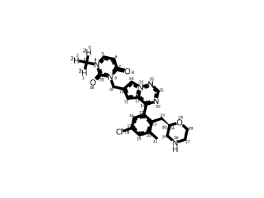 [2H]C([2H])([2H])n1ccc(=O)n(Cc2cc3c(-c4cc(Cl)cc(C)c4C[C@@H]4CNCCO4)ncnn3c2)c1=O